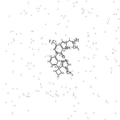 CCN(C)Cc1cc2c(C(F)(F)F)cn(-c3cccc(C4(c5nncn5C)CCC4)c3)c(=O)c2[nH]1